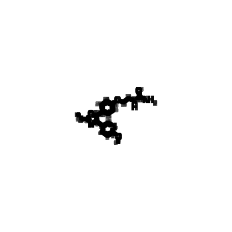 COc1ccc(-c2nc(SC)oc2-c2ccc(OCCNC(N)=O)cc2)cn1